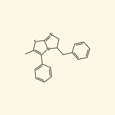 CC1=C(c2ccccc2)N2C(=NCC2Cc2ccccc2)S1